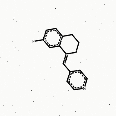 Fc1ccc2c(c1)C(=Cc1ccncc1)CCC2